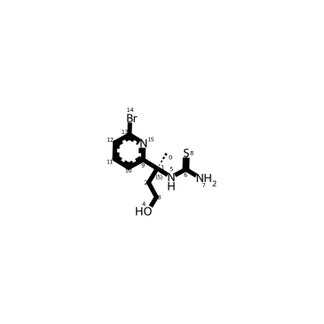 C[C@@](CCO)(NC(N)=S)c1cccc(Br)n1